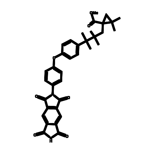 COC(=O)C1(CC(C)(C)C(C)(C)c2ccc(Oc3ccc(-n4c(=O)c5cc6c(=O)[nH]c(=O)c6cc5c4=O)cc3)cc2)CC1(C)C